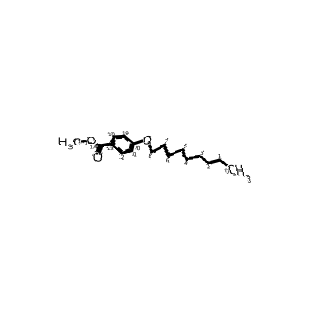 CCCCCCCCCOc1ccc(C(=O)OC)cc1